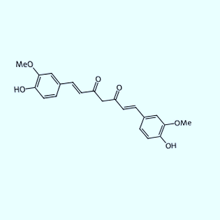 COc1cc(C=CC(=O)CC(=O)/C=C/c2ccc(O)c(OC)c2)ccc1O